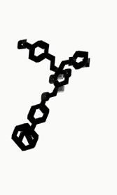 Clc1ccc(CC[C@@]2(Cn3ccnc3)OC[C@@H](COc3ccc(C45CC6CC(CC(C6)C4)C5)cc3)O2)cc1